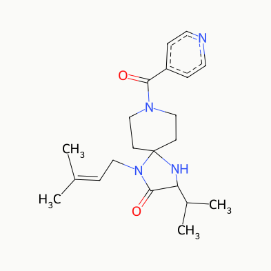 CC(C)=CCN1C(=O)C(C(C)C)NC12CCN(C(=O)c1ccncc1)CC2